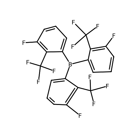 Fc1cccc(B(c2cccc(F)c2C(F)(F)F)c2cccc(F)c2C(F)(F)F)c1C(F)(F)F